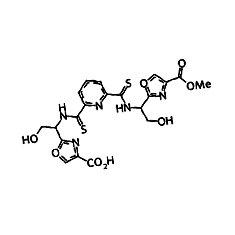 COC(=O)c1coc(C(CO)NC(=S)c2cccc(C(=S)NC(CO)c3nc(C(=O)O)co3)n2)n1